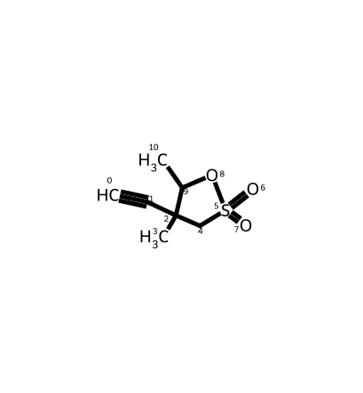 C#CC1(C)CS(=O)(=O)OC1C